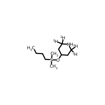 [2H]C1([2H])CC(O[Si](C)(C)CCCC)CC([2H])([2H])N1